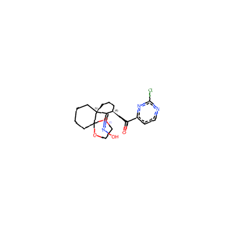 O=C(c1ccnc(Cl)n1)[C@@H]1CCC[C@@]2(CCCCC23OCCO3)/C1=N/O